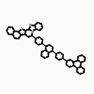 c1ccc2c(c1)ccc1c3cc(-c4ccc(-c5ccc(-c6ccc(-c7ccc8c9ccccc9c9ccccc9c8c7)cc6)c6ccccc56)cc4)n4c5ccccc5nc4c3sc21